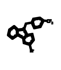 FC(F)(F)c1ccc(Cn2c3ccccc3c3cc(Br)ccc32)cc1